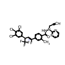 C#CCN(NC(=O)c1ccc(/C(F)=C/C(c2cc(Cl)c(Cl)c(Cl)c2)C(F)(F)F)cc1C)c1ncccn1